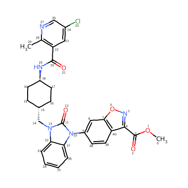 COC(=O)c1noc2cc(-n3c(=O)n(C[C@H]4CC[C@H](NC(=O)c5cc(Cl)cnc5C)CC4)c4ccccc43)ccc12